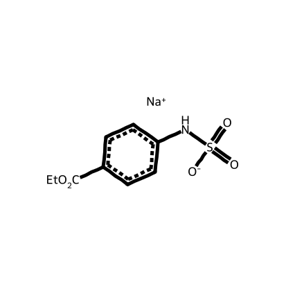 CCOC(=O)c1ccc(NS(=O)(=O)[O-])cc1.[Na+]